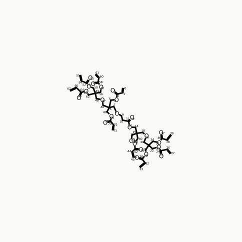 C=CC(=O)OCC(COCCC(=O)OCC(CO)(COCC(COC(=O)C=C)(COC(=O)C=C)COC(=O)C=C)COC(=O)C=C)(COCC(COC(=O)C=C)(COC(=O)C=C)COC(=O)C=C)COC(=O)C=C